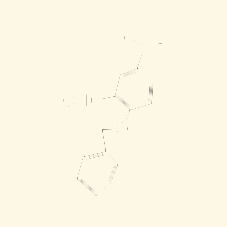 C[S+]([O-])c1ccc(OCc2ccccc2)c(C=O)c1